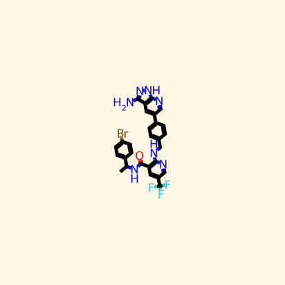 CC(NC(=O)c1cc(C(F)(F)F)cnc1NCc1ccc(-c2cnc3[nH]nc(N)c3c2)cc1)c1ccc(Br)cc1